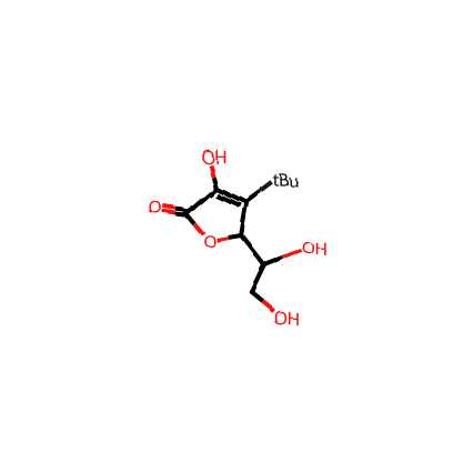 CC(C)(C)C1=C(O)C(=O)OC1C(O)CO